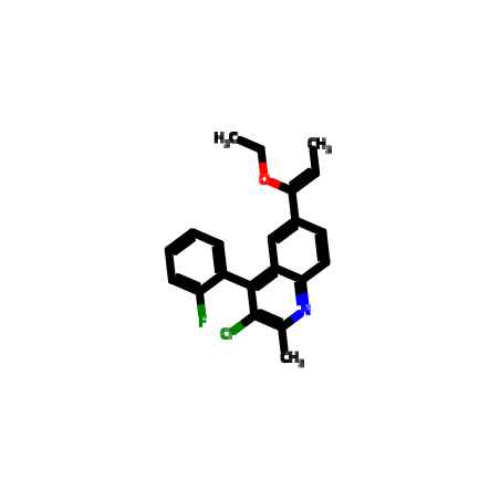 CC=C(OCC)c1ccc2nc(C)c(Cl)c(-c3ccccc3F)c2c1